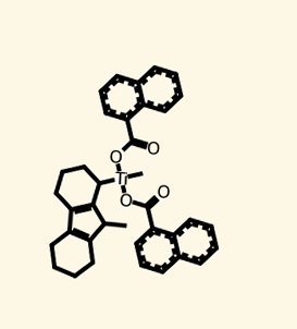 CC1C2=C(CCCC2)C2=C1[CH]([Ti]([CH3])([O]C(=O)c1cccc3ccccc13)[O]C(=O)c1cccc3ccccc13)CCC2